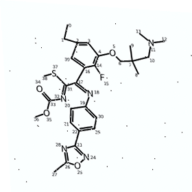 CCc1cc(OCC(C)(C)CN(C)C)c(F)c(C(=N/c2ccc(-c3noc(C)n3)cc2)/C(=N/C(=O)OC)SC)c1